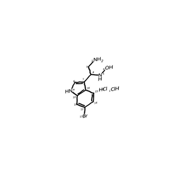 Cl.Cl.NCC(NO)c1c[nH]c2cc(Br)ccc12